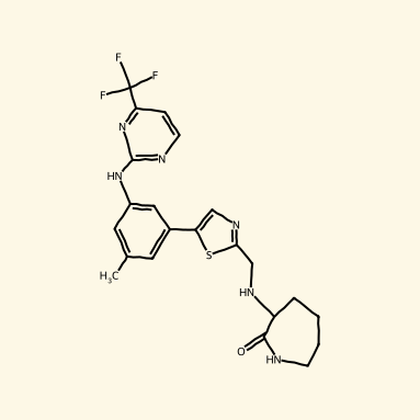 Cc1cc(Nc2nccc(C(F)(F)F)n2)cc(-c2cnc(CNC3CCCCNC3=O)s2)c1